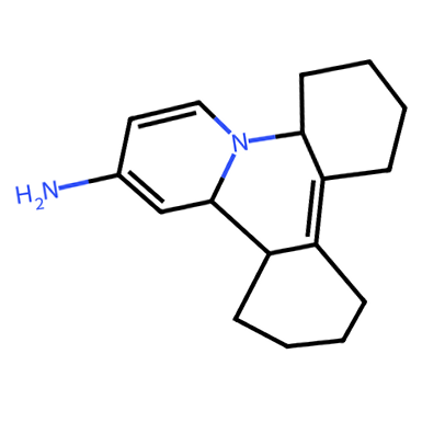 NC1=CC2C3CCCCC3=C3CCCCC3N2C=C1